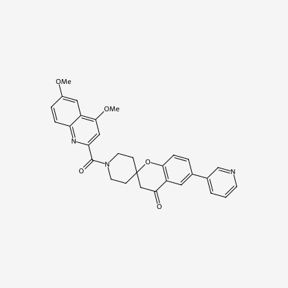 COc1ccc2nc(C(=O)N3CCC4(CC3)CC(=O)c3cc(-c5cccnc5)ccc3O4)cc(OC)c2c1